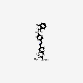 CCCCCC(Nc1ncc(/C=C/c2cnc(NS(=O)(=O)c3ccccc3Cl)cn2)cn1)N(C)C